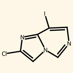 Clc1cn2cncc(I)c2n1